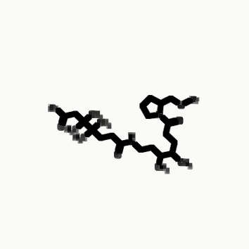 CC(C)OCC1CCCN1C(=O)CCC(C)C(C)CCNC(=O)CCC(C)(C)C(C)(C)CC(=O)C(C)C